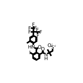 Cc1cc(C(F)(C(F)(F)F)C(F)(F)F)ccc1NC(=O)c1c(I)cccc1C(=O)NC(C)(C)C[S+](C)[O-]